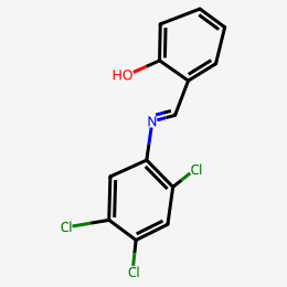 Oc1ccccc1C=Nc1cc(Cl)c(Cl)cc1Cl